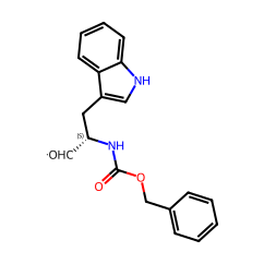 O=[C][C@H](Cc1c[nH]c2ccccc12)NC(=O)OCc1ccccc1